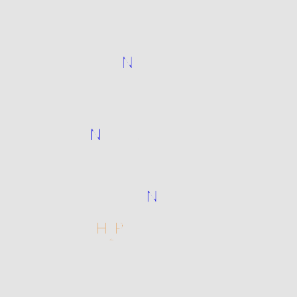 Pn1ccc2cncnc21